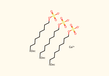 CCCCCCCCCCCCCCCCCCOS(=O)(=O)[O-].CCCCCCCCCCCCCCCCCCOS(=O)(=O)[O-].CCCCCCCCCCCCCCCCCCOS(=O)(=O)[O-].[Ga+3]